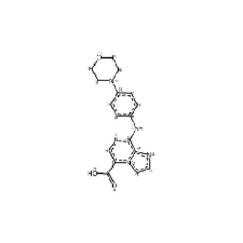 O=C(O)c1cnc(Nc2ccc(N3CCOCC3)cc2)c2nccn12